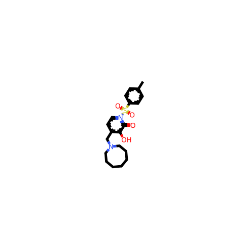 Cc1ccc(S(=O)(=O)n2ccc(CN3CCCCCCC3)c(O)c2=O)cc1